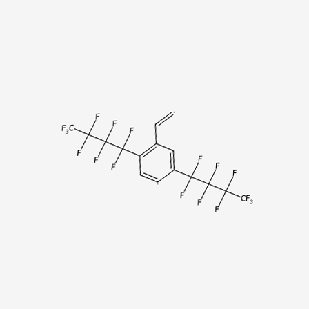 [CH]=Cc1cc(C(F)(F)C(F)(F)C(F)(F)C(F)(F)F)[c]cc1C(F)(F)C(F)(F)C(F)(F)C(F)(F)F